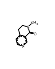 NN1CCc2ccncc2C1=O